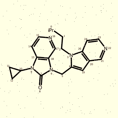 CC(C)CCn1c(Cn2c(=O)n(C3CC3)c3ccncc32)cc2cnccc21